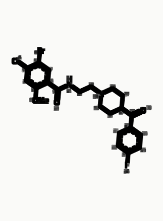 COc1cc(Cl)c(Br)cc1C(=O)NCCN1CCC(C(=O)c2ccc(F)cc2)CC1